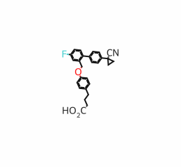 N#CC1(c2ccc(-c3ccc(F)cc3COc3ccc(CCCC(=O)O)cc3)cc2)CC1